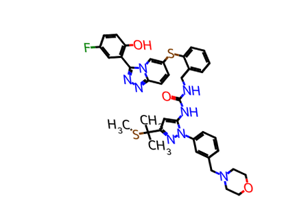 CSC(C)(C)c1cc(NC(=O)NCc2ccccc2Sc2ccc3nnc(-c4cc(F)ccc4O)n3c2)n(-c2cccc(CN3CCOCC3)c2)n1